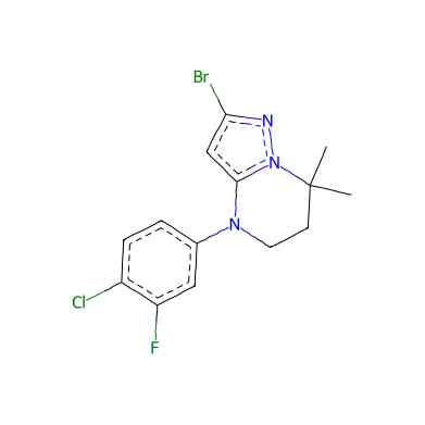 CC1(C)CCN(c2ccc(Cl)c(F)c2)c2cc(Br)nn21